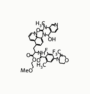 COCCOC(=O)C(Cc1ccc(N2C(=O)N(C)c3cnccc3C2O)c2ncccc12)NC(=O)c1c(C)cc(N2CCOC[C@@H]2C(F)(F)F)cc1F